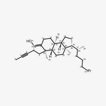 CC#CCC[C@@]1(C)C(=NO)CC[C@H]2[C@@H]3CC[C@H]([C@H](C)CCCC(C)C)[C@@]3(C)CC[C@@H]21